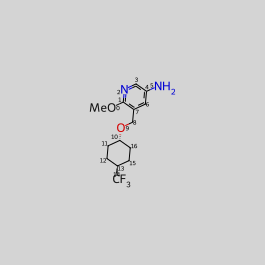 COc1ncc(N)cc1CO[C@H]1CC[C@H](C(F)(F)F)CC1